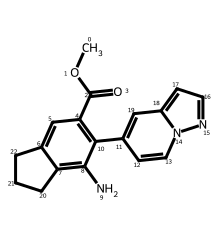 COC(=O)c1cc2c(c(N)c1-c1ccn3nccc3c1)CCC2